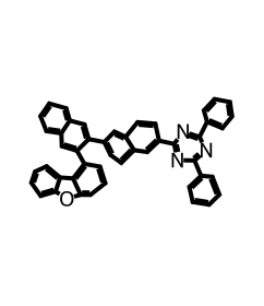 c1ccc(-c2nc(-c3ccccc3)nc(-c3ccc4cc(-c5cc6ccccc6cc5-c5cccc6oc7ccccc7c56)ccc4c3)n2)cc1